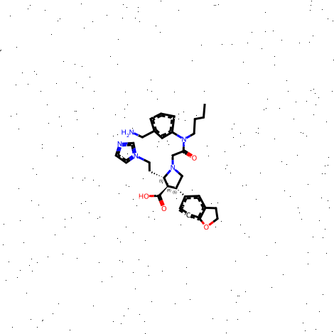 CCCCN(C(=O)CN1C[C@H](c2ccc3c(c2)CCO3)[C@@H](C(=O)O)[C@@H]1CCn1ccnc1)c1cccc(CN)c1